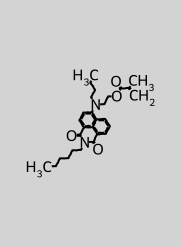 C=C(C)C(=O)OCCN(CCCC)c1ccc2c3c(cccc13)C(=O)N(CCCCCC)C2=O